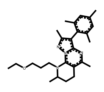 CCOCCCN1c2c(c(C)nc3c(-c4c(C)cc(C)cc4C)c(C)nn23)CCC1C